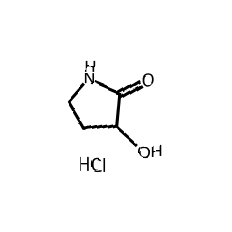 Cl.O=C1NCCC1O